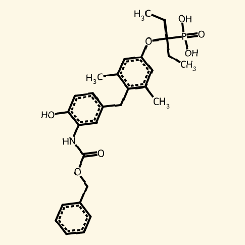 CCC(CC)(Oc1cc(C)c(Cc2ccc(O)c(NC(=O)OCc3ccccc3)c2)c(C)c1)P(=O)(O)O